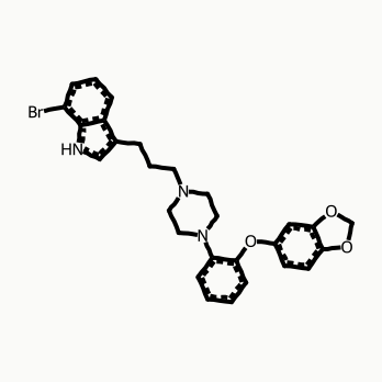 Brc1cccc2c(CCCN3CCN(c4ccccc4Oc4ccc5c(c4)OCO5)CC3)c[nH]c12